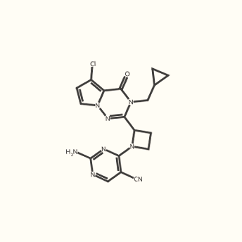 N#Cc1cnc(N)nc1N1CCC1c1nn2ccc(Cl)c2c(=O)n1CC1CC1